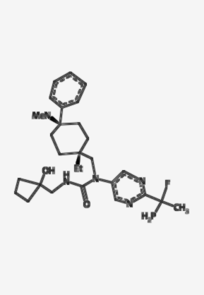 CC[C@]1(CN(C(=O)NCC2(O)CCC2)c2cnc(C(C)(F)P)nc2)CC[C@@](NC)(c2ccccc2)CC1